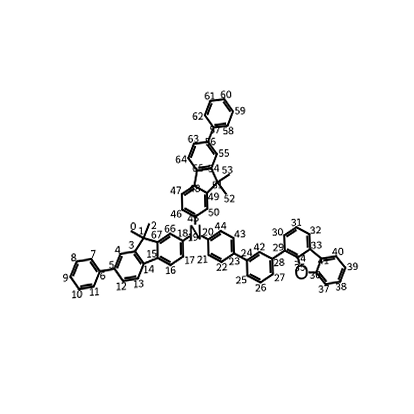 CC1(C)c2cc(-c3ccccc3)ccc2-c2ccc(N(c3ccc(-c4cccc(-c5cccc6c5oc5ccccc56)c4)cc3)c3ccc4c(c3)C(C)(C)c3cc(-c5ccccc5)ccc3-4)cc21